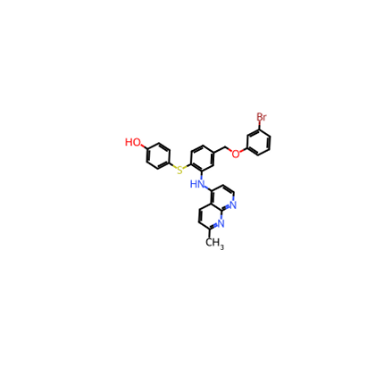 Cc1ccc2c(Nc3cc(COc4cccc(Br)c4)ccc3Sc3ccc(O)cc3)ccnc2n1